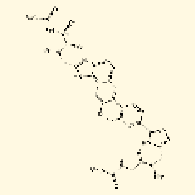 CCCN(Cc1ncc(-c2ccc3c(c2)COc2cc4c(ccc5nc(CN(CCC)C(=O)[C@H](CC)NC(=O)OC)[nH]c54)cc2-3)[nH]1)C(=O)CNC(=O)OC